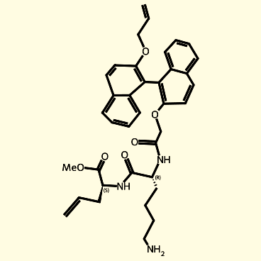 C=CCOc1ccc2ccccc2c1-c1c(OCC(=O)N[C@H](CCCCN)C(=O)N[C@@H](CC=C)C(=O)OC)ccc2ccccc12